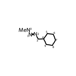 CNN=NCC1CCCCC1